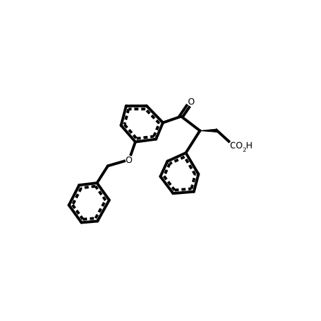 O=C(O)C[C@H](C(=O)c1cccc(OCc2ccccc2)c1)c1ccccc1